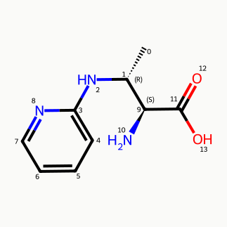 C[C@@H](Nc1ccccn1)[C@H](N)C(=O)O